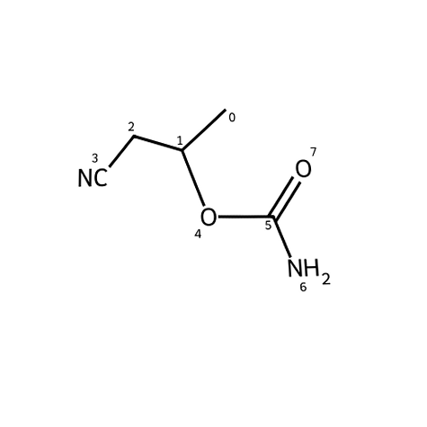 CC(CC#N)OC(N)=O